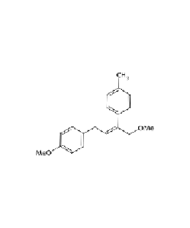 COC/C(=C/Cc1ccc(OC)cc1)c1ccc(C)cc1